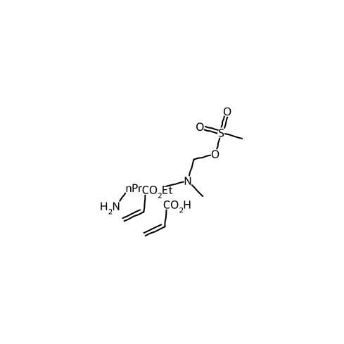 C=CC(=O)O.C=CC(=O)OCC.CCCN.CN(C)COS(C)(=O)=O